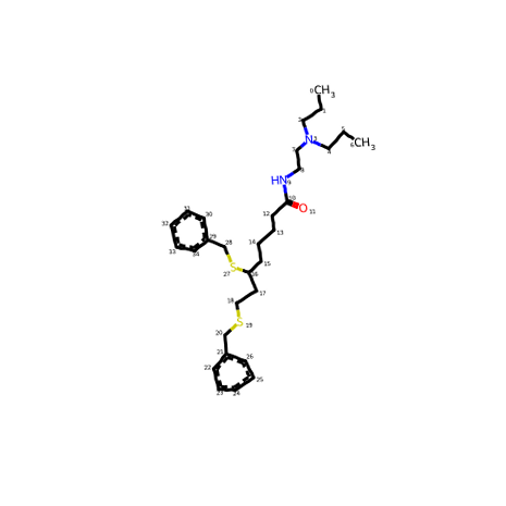 CCCN(CCC)CCNC(=O)CCCCC(CCSCc1ccccc1)SCc1ccccc1